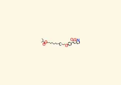 CCC(C)C(=O)OCCCCCCCCCCCCOc1ccc(-c2cc3cccnc3oc2=O)cc1